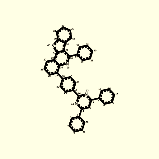 c1ccc(-c2cc(-c3ccccc3)nc(-c3ccc(-c4cccc5c4nc(-c4ccccc4)c4c6ccccc6sc54)cc3)n2)cc1